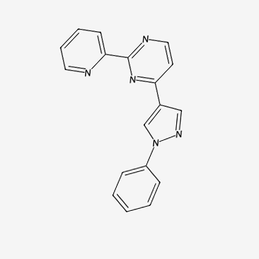 c1ccc(-n2cc(-c3ccnc(-c4ccccn4)n3)cn2)cc1